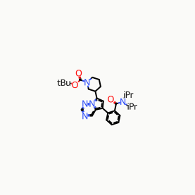 CC(C)N(C(=O)c1ccccc1-c1cc(C2CCCN(C(=O)OC(C)(C)C)C2)n2ncncc12)C(C)C